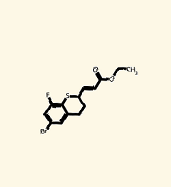 CCOC(=O)/C=C/C1CCc2cc(Br)cc(F)c2S1